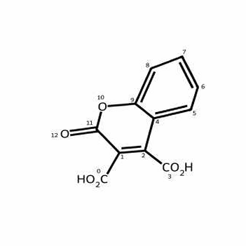 O=C(O)c1c(C(=O)O)c2ccccc2oc1=O